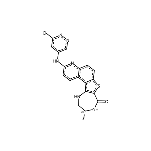 C[C@@H]1CNc2c(sc3ccc4nc(Nc5cnnc(Cl)c5)ccc4c23)C(=O)N1